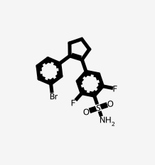 NS(=O)(=O)c1c(F)cc(C2=C(c3cccc(Br)c3)CCC2)cc1F